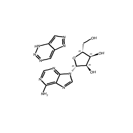 Nc1ncnc2c1ncn2[C@@H]1O[C@H](CO)[C@@H](O)[C@H]1O.c1nn[nH]c2cnnc1-2